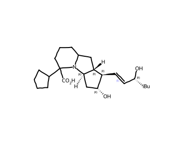 CCC(C)[C@@H](O)/C=C/[C@@H]1[C@H]2CC3CCCC(C(=O)O)(C4CCCC4)N3[C@@H]2C[C@H]1O